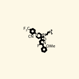 COc1ccccc1-c1ncc(C2(C(=O)NCCN(C)C)CCN(c3ccc(C(F)(F)F)cc3C#N)CC2)cc1F